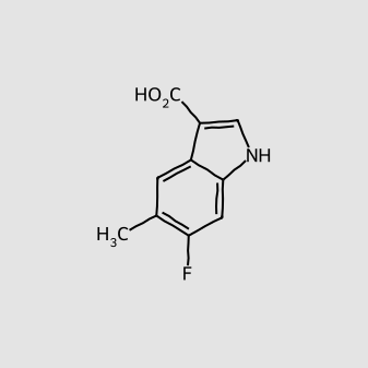 Cc1cc2c(C(=O)O)c[nH]c2cc1F